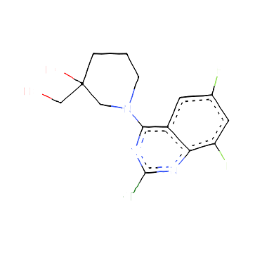 OCC1(O)CCCN(c2nc(Cl)nc3c(F)cc(F)cc23)C1